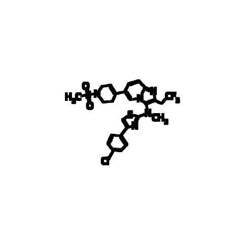 CN(c1nc(-c2ccc(Cl)cc2)cs1)c1c(CC(F)(F)F)nc2ccc(C3=CCN(S(C)(=O)=O)CC3)cn12